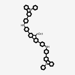 CCCCCCCCC1c2cc(-c3ccc(Nc4ccc(-c5ccc6c(c5)c5ccccc5n6-c5ccccc5)cc4)cc3)ccc2-c2ccc(-c3ccc(Nc4ccc(-c5ccc6c(c5)c5ccccc5n6-c5ccccc5)cc4)cc3)cc21